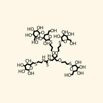 C[C@@H]1C(CSCCNC(=S)NCC(COCCCS[C@H]2OC(CO)[C@@H](O)C(O)[C@H]2O)(COCCCS[C@H]2OC(CO)[C@@H](O)C(O)[C@H]2O)COCCCS[C@@H]2OC(CO)[C@@H](O[C@@H]3OC(CO)[C@H](O)C(O)[C@@H]3O)C(O)[C@@H]2O)O[C@H](O)[C@@H](O)C1O